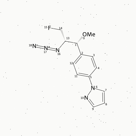 CO[C@H](c1ccc(-n2cccn2)cc1)[C@@H](CF)N=[N+]=[N-]